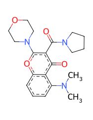 CN(C)c1cccc2oc(N3CCOCC3)c(C(=O)N3CCCC3)c(=O)c12